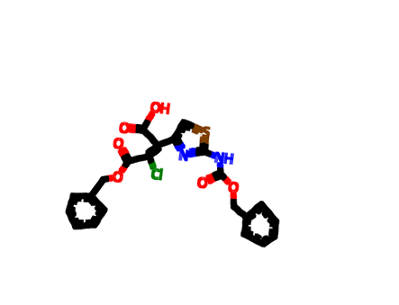 O=C(Nc1nc(C(C(=O)O)=C(Cl)C(=O)OCc2ccccc2)cs1)OCc1ccccc1